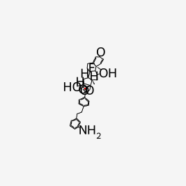 C[C@]12C=CC(=O)C=C1CC[C@H]1[C@@H]3C[C@H]4O[C@H](c5ccc(CCc6cccc(N)c6)cc5)O[C@@]4(C(=O)CO)[C@@]3(C)C[C@H](O)[C@@]12F